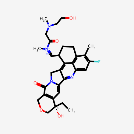 CC[C@@]1(O)COCc2c1cc1n(c2=O)Cc2c-1nc1cc(F)c(C)c3c1c2C(/C=[N+](/C)C(=O)CN(C)CCO)CC3